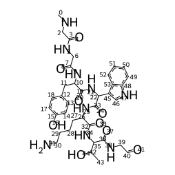 CNCC(=O)NCC(=O)NC(Cc1ccc(O)cc1)C(=O)NC(C(=O)NC(CCCCN)C(=O)NC(C(=O)NCC=O)C(C)O)c1c[nH]c2ccccc12